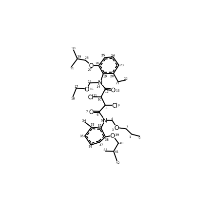 CCCOCN(C(=O)C(Cl)C(Cl)C(=O)N(COCC)c1c(CC)cccc1OCC(C)C)c1c(C)cccc1OCC(C)C